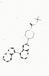 CC(C)(C)OC(=O)N1CCC(c2cc3c(-c4cnn5ncccc45)ccnc3[nH]2)CC1